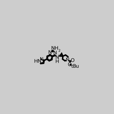 CC(C)(C)OC(=O)N1CCC2(CC1)C[C@H]2Nc1nc(N)nc2cc(-c3cc[nH]n3)ccc12